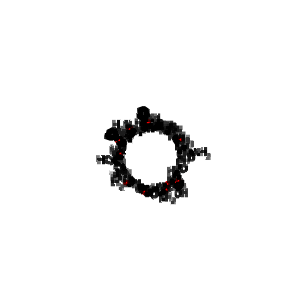 CCCC[C@H]1C(=O)N(C)[C@@H](CCCC)C(=O)NC(C)(C)C(=O)N[C@H](C(=O)NCC(N)=O)CSCC(=O)N[C@@H](Cc2ccc(O)cc2)C(=O)N(C)[C@@H](C)C(=O)N[C@@H](CC(N)=O)C(=O)N2CCC[C@H]2C(=O)N[C@@H](CN)C(=O)N[C@@H](CC(C)C)C(=O)N2C[C@H](O)C[C@H]2C(=O)N[C@@H](Cc2c[nH]c3ccccc23)C(=O)N[C@@H](CCN)C(=O)N[C@@H](Cc2c[nH]c3ccccc23)C(=O)N1C